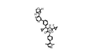 Cc1cnn(C)c1-c1ccc(NC(=O)C(NC(=O)C2(F)CC2)C(c2cccc(-c3cc(N4C[C@@H]5C[C@H]4CO5)ncn3)c2)C2CC2)cc1